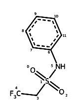 O=S(=O)(CC(F)(F)F)Nc1c[c]ccc1